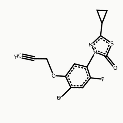 C#CCOc1cc(-n2nc(C3CC3)sc2=O)c(F)cc1Br